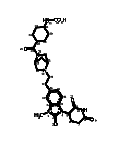 Cn1c(=O)n(C2CCC(=O)NC2=O)c2ccc(CCN3CC4CC3CN4C(=O)C3CCC(NC(=O)O)CC3)cc21